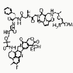 BC(COC(C)CNCC(C(=O)NCC(=O)NCC(=O)N[C@@H](Cc1ccccc1)C(=O)NCC(=O)NCOC(C)(C)C(=O)N[C@H]1CCc2c(C)c(F)cc3nc4c(c1c23)Cn1c-4cc2c(c1=O)COC(=O)[C@]2(O)CC)N1C(=O)C=CC1=O)OC